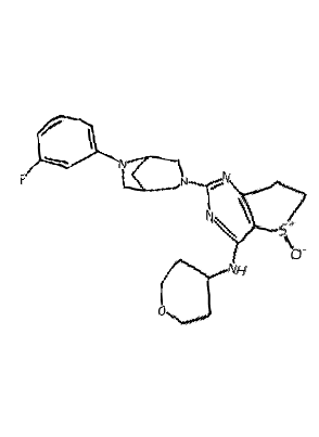 [O-][S+]1CCc2nc(N3CC4CC3CN4c3cccc(F)c3)nc(NC3CCOCC3)c21